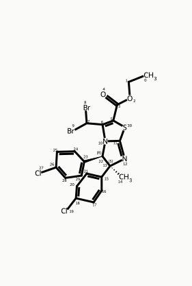 CCOC(=O)C1=C(C(Br)Br)N2C(=N[C@@](C)(c3ccc(Cl)cc3)[C@H]2c2ccc(Cl)cc2)S1